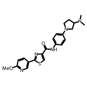 COc1ccc(-c2nc(C(=O)Nc3ccc(N4CCC(N(C)C)C4)cc3)cs2)cn1